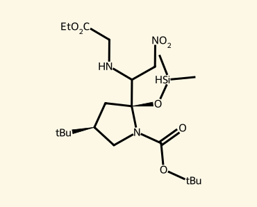 CCOC(=O)CNC(C[N+](=O)[O-])[C@@]1(O[SiH](C)C)C[C@H](C(C)(C)C)CN1C(=O)OC(C)(C)C